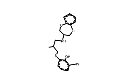 CC(CNC1COc2ccccc2SC1)CSc1cccc(C(C)C)c1O